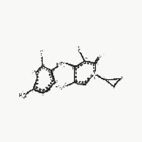 Bc1ccc(Nc2c(C(=O)O)cn(C3CC3)c(=O)c2F)c(F)c1